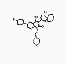 O=C(NC1(CO)CCCCC1)c1c(O)c2cc(-c3ccc(F)cc3)cnc2n(CCN2CCOCC2)c1=O